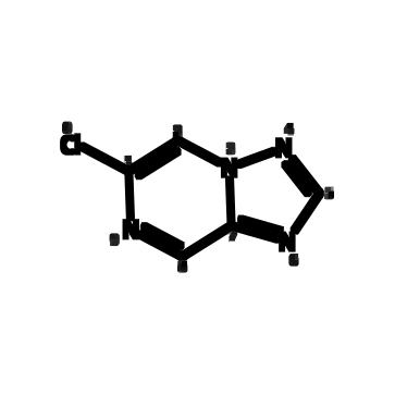 Clc1cn2ncnc2cn1